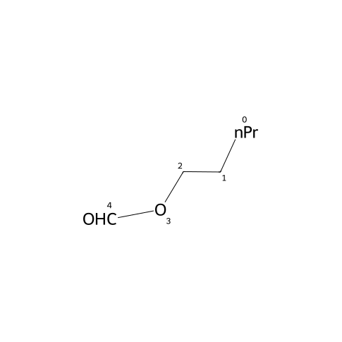 [CH2]CCCCOC=O